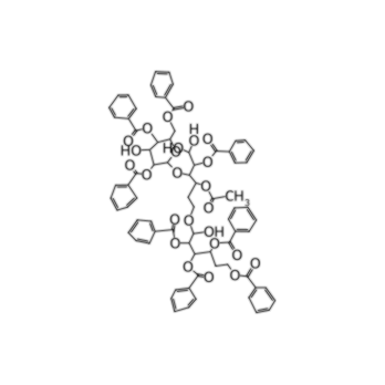 CC(=O)OC(CCOC(O)C(OC(=O)c1ccccc1)C(OC(=O)c1ccccc1)C(CCOC(=O)c1ccccc1)OC(=O)c1ccccc1)C(OC1OC(COC(=O)c2ccccc2)C(OC(=O)c2ccccc2)C(O)C1OC(=O)c1ccccc1)C(OC(=O)c1ccccc1)C(O)O